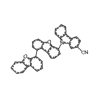 N#Cc1ccc2c3ccccc3n(-c3cccc4c3oc3cccc(-c5cccc6c5oc5ccccc56)c34)c2c1